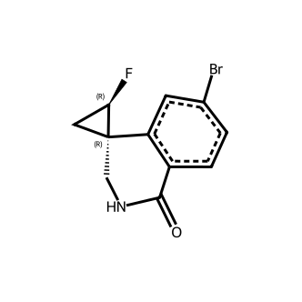 O=C1NC[C@@]2(C[C@H]2F)c2cc(Br)ccc21